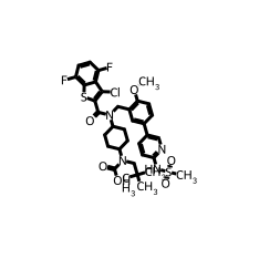 COc1ccc(-c2ccc(NS(C)(=O)=O)nc2)cc1CN(C(=O)c1sc2c(F)ccc(F)c2c1Cl)C1CCC(N(CC(C)(C)C)C(=O)O)CC1